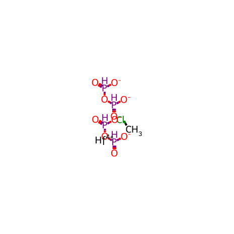 CCl.O=[PH]([O-])O[PH](=O)[O-].O=[PH]([O-])O[PH](=O)[O-].[Hf+4]